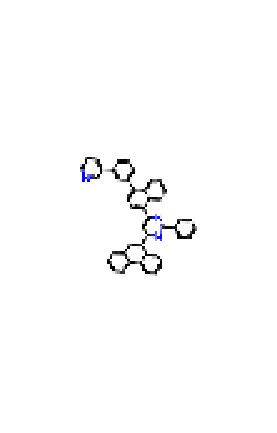 c1ccc(-c2nc(-c3ccc(-c4cccc(-c5cccnc5)c4)c4ccccc34)cc(-c3cc4ccccc4c4ccccc34)n2)cc1